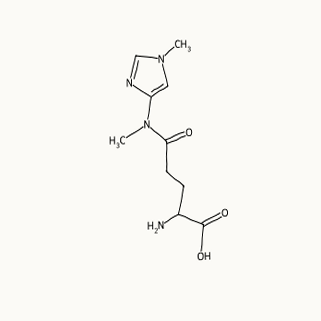 CN(C(=O)CCC(N)C(=O)O)c1cn(C)cn1